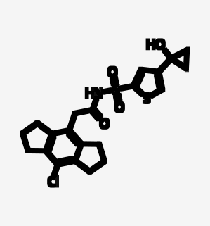 O=C(Cc1c2c(c(Cl)c3c1CCC3)CCC2)NS(=O)(=O)c1cc(C2(O)CC2)cs1